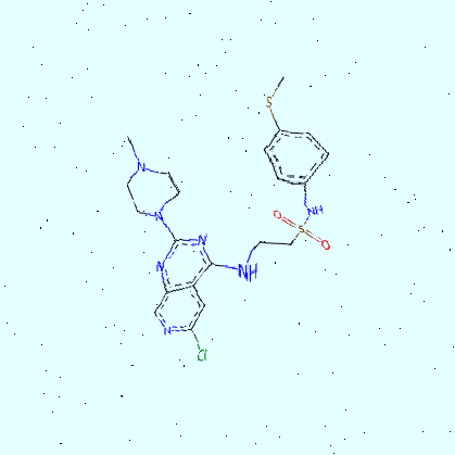 CSc1ccc(NS(=O)(=O)CCNc2nc(N3CCN(C)CC3)nc3cnc(Cl)cc23)cc1